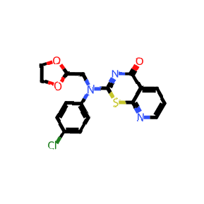 O=c1nc(N(CC2OCCO2)c2ccc(Cl)cc2)sc2ncccc12